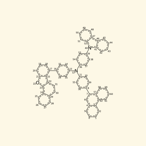 c1ccc2c(c1)cc(-c1ccc(N(c3ccc(-c4cccc5oc6c7ccccc7ccc6c45)cc3)c3ccc(-n4c5ccccc5c5ccccc54)cc3)cc1)c1ccccc12